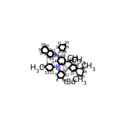 Cc1ccc(N2c3ccc(C(C)(C)C)cc3B3c4cc5c(cc4C(C)(C)c4cc(N(c6ccccc6)c6ccc7ccccc7c6)cc2c43)C(C)CCC5C)cc1